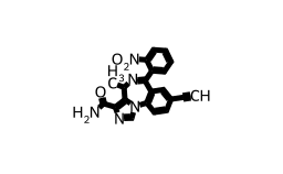 C#Cc1ccc2c(c1)C(c1ccccc1[N+](=O)[O-])=NC(C)c1c(C(N)=O)ncn1-2